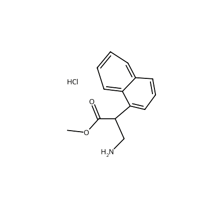 COC(=O)C(CN)c1cccc2ccccc12.Cl